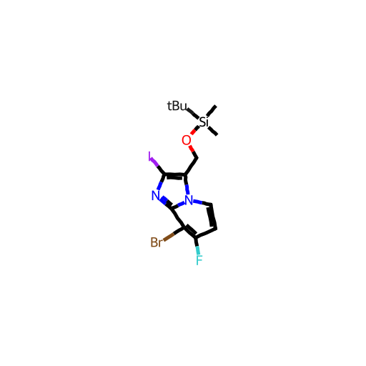 CC(C)(C)[Si](C)(C)OCc1c(I)nc2c(Br)c(F)ccn12